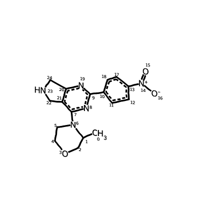 CC1COCCN1c1nc(-c2ccc([N+](=O)[O-])cc2)nc2c1CNC2